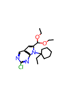 CCOC(OCC)c1cc2cnc(Cl)nc2n1C1(CC)CCCCC1